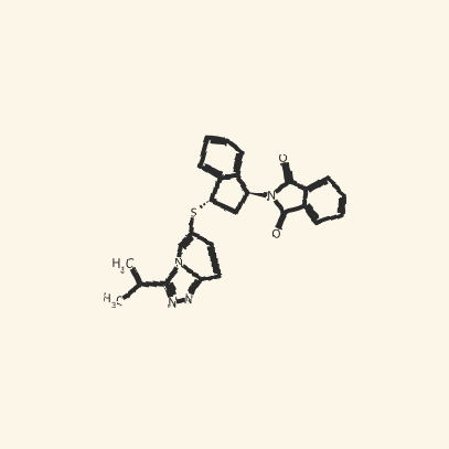 CC(C)c1nnc2ccc(S[C@H]3C[C@H](N4C(=O)c5ccccc5C4=O)c4ccccc43)cn12